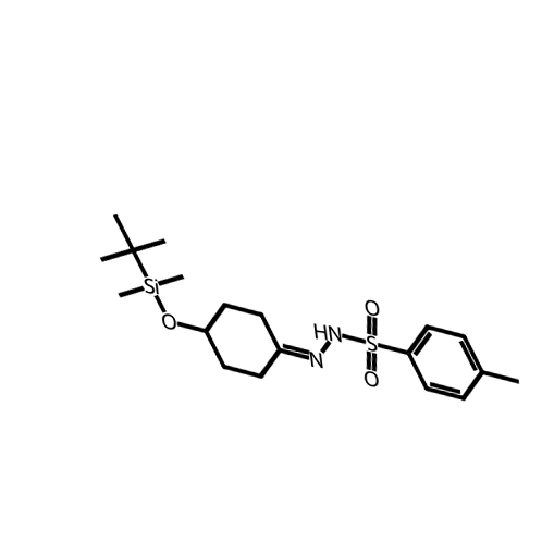 Cc1ccc(S(=O)(=O)NN=C2CCC(O[Si](C)(C)C(C)(C)C)CC2)cc1